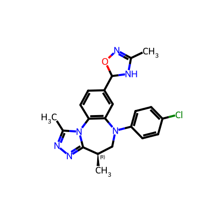 CC1=NOC(c2ccc3c(c2)N(c2ccc(Cl)cc2)C[C@@H](C)c2nnc(C)n2-3)N1